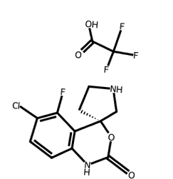 O=C(O)C(F)(F)F.O=C1Nc2ccc(Cl)c(F)c2[C@]2(CCNC2)O1